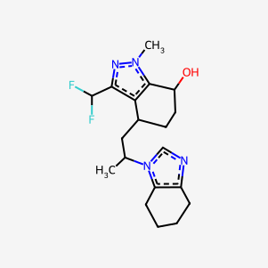 CC(CC1CCC(O)c2c1c(C(F)F)nn2C)n1cnc2c1CCCC2